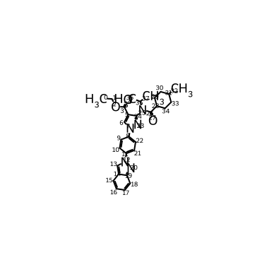 CCOC(=O)c1cn(-c2ccc(-n3cc4ccccc4n3)cc2)nc1N(C(=O)C1CCC(C)CC1)C(C)C